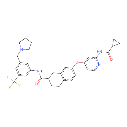 O=C(Nc1cc(CN2CCCC2)cc(C(F)(F)F)c1)C1CCc2ccc(Oc3ccnc(NC(=O)C4CC4)c3)cc2C1